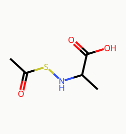 CC(=O)SNC(C)C(=O)O